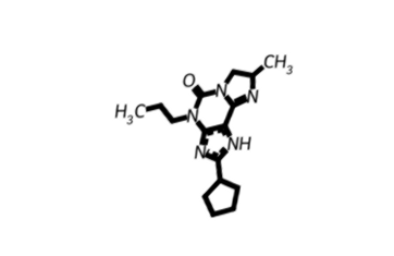 CCCN1C(=O)N2CC(C)N=C2c2[nH]c(C3CCCC3)nc21